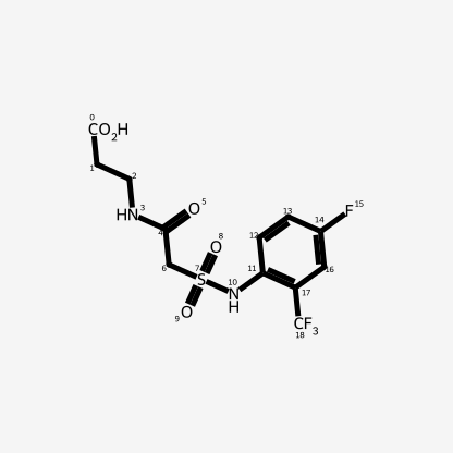 O=C(O)CCNC(=O)CS(=O)(=O)Nc1ccc(F)cc1C(F)(F)F